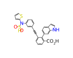 O=C(O)c1cccc(C#Cc2cccc(N(c3cccs3)[SH](=O)=O)c2)c1-c1ccc2cc[nH]c2c1